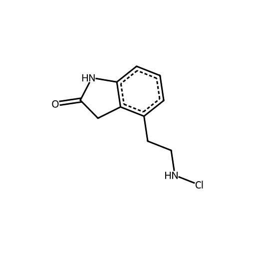 O=C1Cc2c(CCNCl)cccc2N1